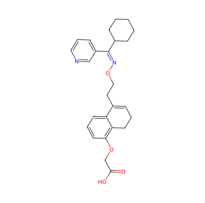 O=C(O)COc1cccc2c1CCC=C2CCO/N=C(\c1cccnc1)C1CCCCC1